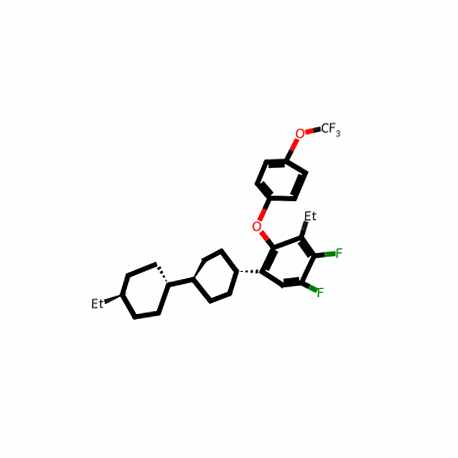 CCc1c(F)c(F)[c]c([C@H]2CC[C@H]([C@H]3CC[C@H](CC)CC3)CC2)c1Oc1ccc(OC(F)(F)F)cc1